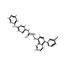 Cc1cccc(-c2ccc(CNC(=O)Cc3ccc(Oc4ccccc4)cc3)c3cnccc23)c1